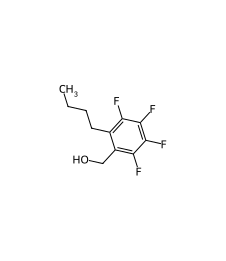 CCCCc1c(F)c(F)c(F)c(F)c1CO